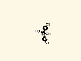 Cc1nn(-c2ccc(S)cn2)c(O)c1-c1ccc(C#N)cc1